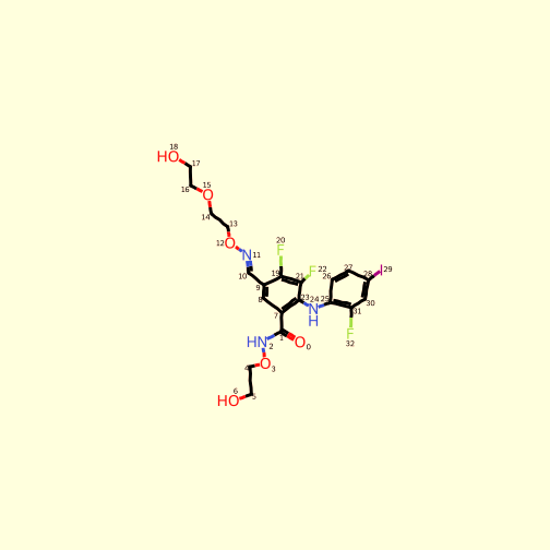 O=C(NOCCO)c1cc(C=NOCCOCCO)c(F)c(F)c1Nc1ccc(I)cc1F